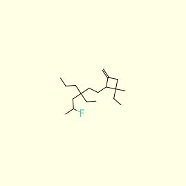 C=C1CC(C)(CC)C1CCC(CC)(CCC)CC(C)F